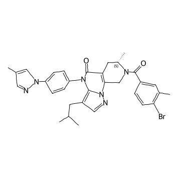 Cc1cnn(-c2ccc(-n3c(=O)c4c(n5ncc(CC(C)C)c35)CN(C(=O)c3ccc(Br)c(C)c3)[C@@H](C)C4)cc2)c1